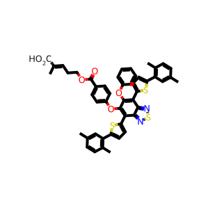 CC(=CCCOC(=O)c1ccc(Oc2c(Oc3ccccc3)c(-c3ccc(-c4cc(C)ccc4C)s3)c3nsnc3c2-c2ccc(-c3cc(C)ccc3C)s2)cc1)C(=O)O